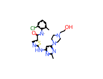 Cc1nc(Nc2ncc(C(=O)[N]c3c(C)cccc3Cl)s2)cc(N2CCN(CCO)CC2)n1